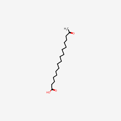 CC(=O)CCCCCCCCCCCCCCCC(=O)O